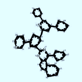 c1ccc(-c2cc(-c3ccccc3)nc(-c3cc(-c4cccnc4)cc(-c4nc(-c5ccccc5)c5c(ccc6ccccc65)n4)c3)c2)cc1